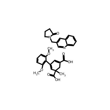 COc1cccc(OC)c1C1=CC(C)(C(=O)O)CC(C(=O)O)=C1.O=C1CCCN1Cc1cnc2ccccc2c1